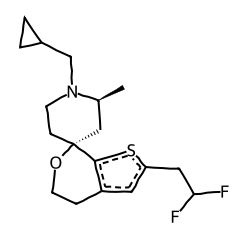 C[C@H]1C[C@@]2(CCN1CC1CC1)OCCc1cc(CC(F)F)sc12